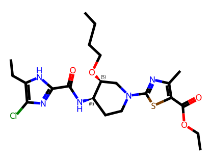 CCCCO[C@H]1CN(c2nc(C)c(C(=O)OCC)s2)CC[C@H]1NC(=O)c1nc(Cl)c(CC)[nH]1